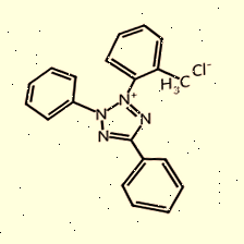 Cc1ccccc1-[n+]1nc(-c2ccccc2)nn1-c1ccccc1.[Cl-]